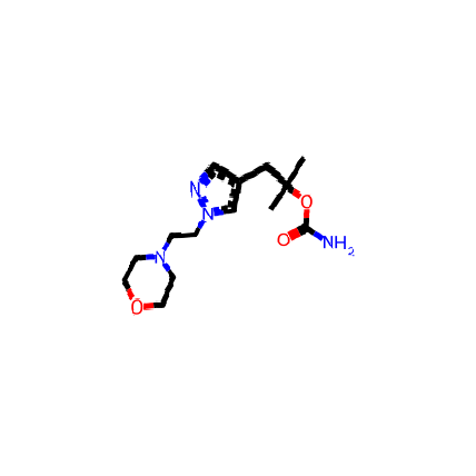 CC(C)(Cc1cnn(CCN2CCOCC2)c1)OC(N)=O